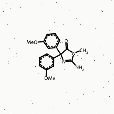 COc1cccc(C2(c3cccc(OC)c3)N=C(N)N(C)C2=O)c1